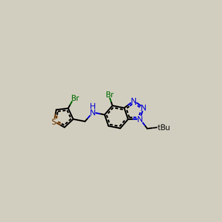 CC(C)(C)Cn1nnc2c(Br)c(NCc3cscc3Br)ccc21